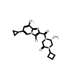 C[C@@H]1CN(C2CCC2)C(=O)CN1C(=O)c1nc2c(C(F)(F)F)cc(C3CC3)cn2c1Cl